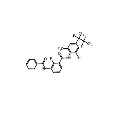 O=C(Nc1cccc(C(=O)Nc2c(Br)cc(C(F)(C(F)(F)F)C(F)(F)C(F)(F)F)cc2C(F)(F)F)c1F)c1ccccc1